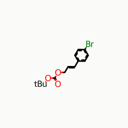 CC(C)(C)OC(=O)OC/C=C/c1ccc(Br)cc1